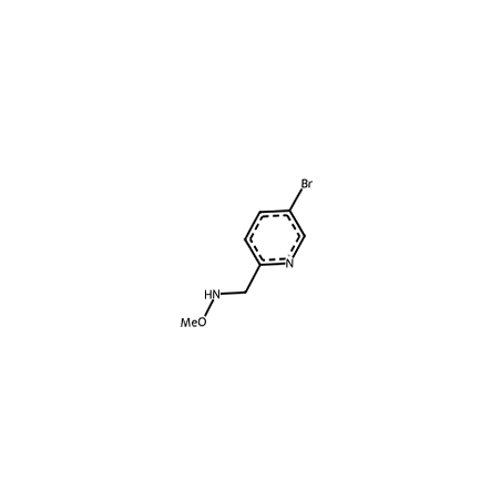 CONCc1ccc(Br)cn1